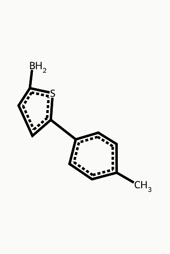 Bc1ccc(-c2ccc(C)cc2)s1